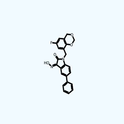 O=C1/C(=N\O)c2cc(-c3ccccc3)ccc2N1Cc1cc(F)cc2c1OCOC2